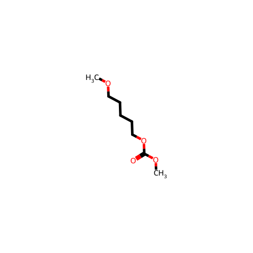 COCCCCCOC(=O)OC